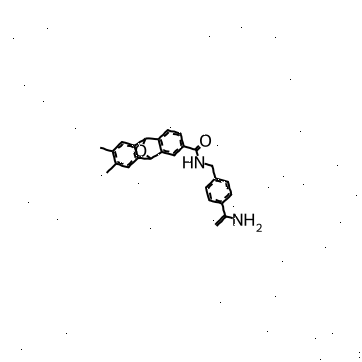 C=C(N)c1ccc(CNC(=O)c2ccc3c(c2)C2OC3c3cc(C)c(C)cc32)cc1